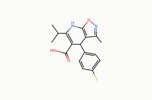 Cc1noc2c1C(c1ccc(F)cc1)C(C(=O)O)=C(C(C)C)N2